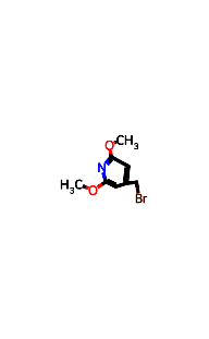 COc1cc(CBr)cc(OC)n1